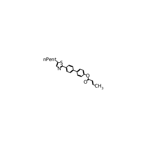 C/C=C/C(=O)Oc1ccc(-c2ccc(-c3ncc(CCCCC)s3)cc2)cc1